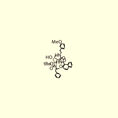 COc1cccc(CCNC(=O)[C@H](CC(=O)O)NC(=O)c2c(OC[C@@H](Cc3ccccc3)NC(=O)OC(C)(C)C)ccc3ccccc23)c1